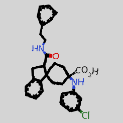 O=C(NCCc1ccccc1)C1Cc2ccccc2C12CCC(Nc1cccc(Cl)c1)(C(=O)O)CC2